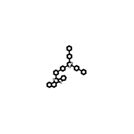 c1ccc(-c2ccc(-c3cc(-c4ccc(-c5cccc(-c6nc7c8ccccc8ccc7c7sc8ccccc8c67)c5)cc4)nc(-c4ccc(-c5ccccc5)cc4)n3)cc2)cc1